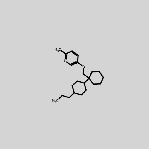 CCCC1CCC(C2(COc3ccc(C)nc3)CCCCC2)CC1